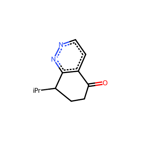 CC(C)C1CCC(=O)c2ccnnc21